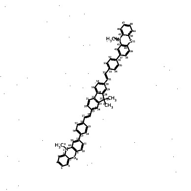 CN1c2ccccc2Sc2ccc(-c3ccc(/C=C/c4ccc5c(c4)C(C)(C)c4cc(/C=C/c6ccc(-c7ccc8c(c7)N(C)c7ccccc7S8)cc6)ccc4-5)cc3)cc21